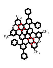 Cc1ccc2c(c1)Oc1cc(C)cc3c1B2c1cc2c(-c4c(-c5ccccc5)cc(-c5ccccc5)cc4-c4ccccc4)cc4c5c(cc6c(-c7c(-c8ccccc8)cc(-c8ccccc8)cc7-c7ccccc7)cc-3c1c6c25)B1c2ccc(C(F)(F)F)cc2Oc2cc(C(F)(F)F)cc-4c21